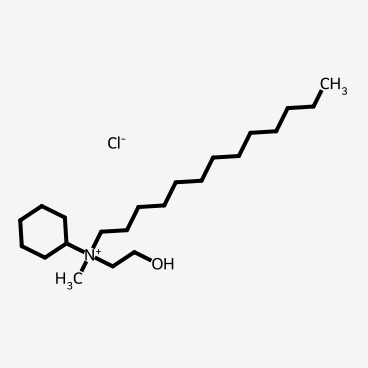 CCCCCCCCCCCCC[N+](C)(CCO)C1CCCCC1.[Cl-]